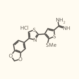 CSc1sc(C(=N)N)cc1-c1nc(-c2ccc3c(c2)OCO3)cs1.Cl